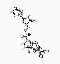 O=C(NOCC1CC(n2ccnn2)CN1)[C@@H]1CC[C@@H]2CN1C(=O)N2OS(=O)(=O)O